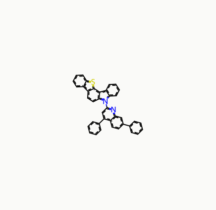 c1ccc(-c2ccc3c(-c4ccccc4)cc(-n4c5ccccc5c5c6sc7ccccc7c6ccc54)nc3c2)cc1